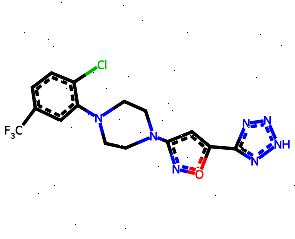 FC(F)(F)c1ccc(Cl)c(N2CCN(c3cc(-c4nn[nH]n4)on3)CC2)c1